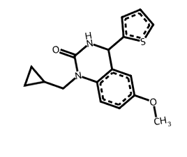 COc1ccc2c(c1)C(c1cccs1)NC(=O)N2CC1CC1